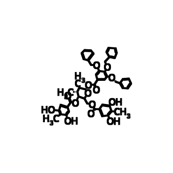 Cc1c(O)cc(C(=O)OCC2O[C@@H](OC(=O)c3cc(OCc4ccccc4)c(OCc4ccccc4)c(OCc4ccccc4)c3)C(C)[C@@H](C)[C@@H]2OC(=O)c2cc(O)c(C)c(O)c2)cc1O